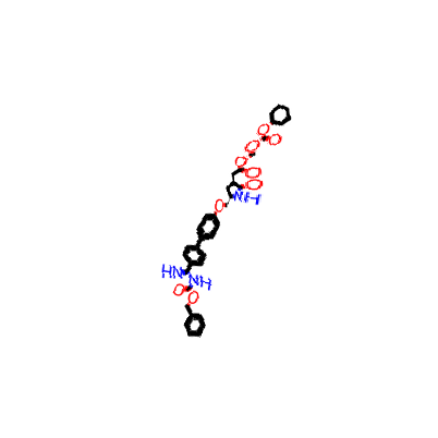 N=C(NC(=O)OCc1ccccc1)c1ccc(-c2ccc(OC[C@@H]3C[C@@H](CC(=O)OCOC(=O)OC4CCCCC4)C(=O)N3)cc2)cc1